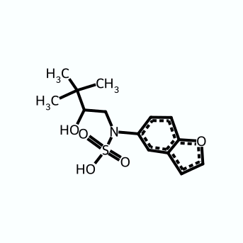 CC(C)(C)C(O)CN(c1ccc2occc2c1)S(=O)(=O)O